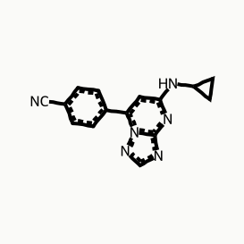 N#Cc1ccc(-c2cc(NC3CC3)nc3ncnn23)cc1